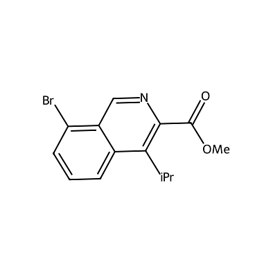 COC(=O)c1ncc2c(Br)cccc2c1C(C)C